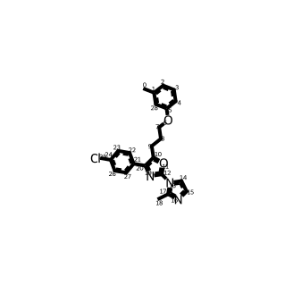 Cc1cccc(OCCCc2oc(-n3ccnc3C)nc2-c2ccc(Cl)cc2)c1